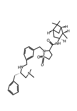 C[C@@H]1[C@@H](NC(=O)C2CCS(=O)(=O)N2Cc2cccc(CN[C@@H](Cc3ccccc3)CN(C)C)c2)C[C@H]2C[C@@H]1C2(C)C